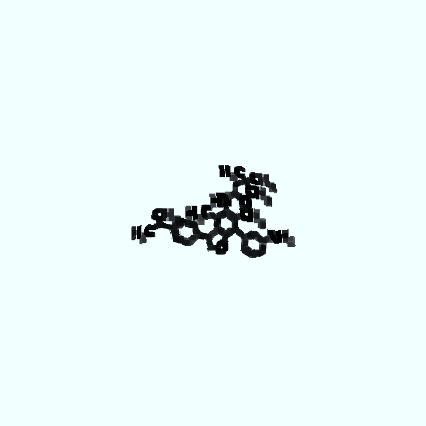 Cc1c(NC(=O)CC(C)(C)C)c(C)c2c(c1-c1cccc(N)c1)OCC2c1ccc(C(C)C)cc1